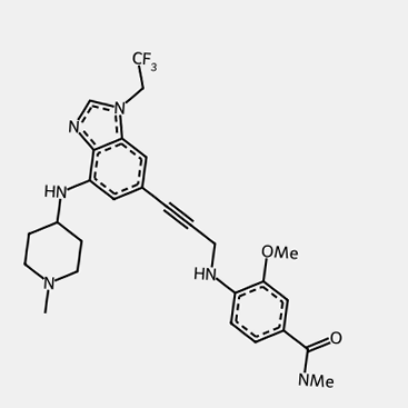 CNC(=O)c1ccc(NCC#Cc2cc(NC3CCN(C)CC3)c3ncn(CC(F)(F)F)c3c2)c(OC)c1